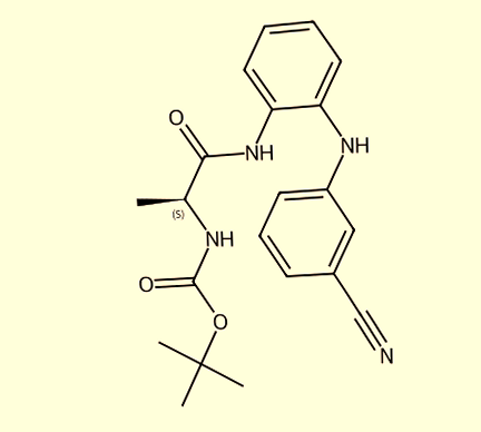 C[C@H](NC(=O)OC(C)(C)C)C(=O)Nc1ccccc1Nc1cccc(C#N)c1